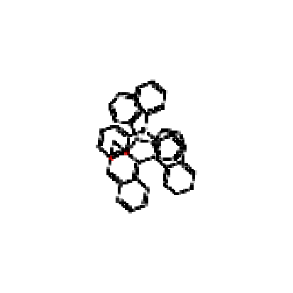 C1=c2ccccc2=C(c2c(P(c3ccccc3)c3ccccc3)ccc3c2=CCCC=3)C2(P(c3ccccc3)c3ccccc3)CC12